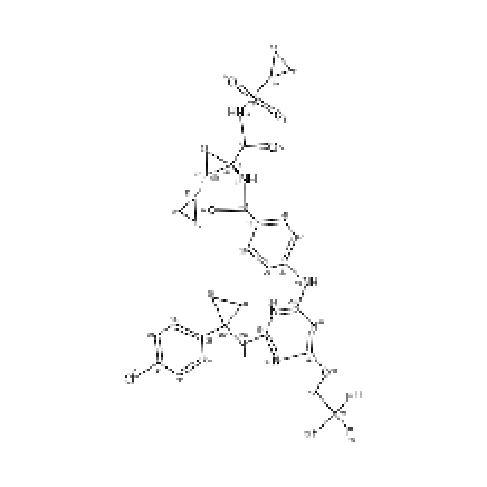 O=C(N[C@]1(C(=O)NS(=O)(=O)C2CC2)C[C@H]1C1CC1)c1ccc(Nc2nc(NC3(c4ccc(Cl)cc4)CC3)nc(OCC(F)(F)F)n2)cc1